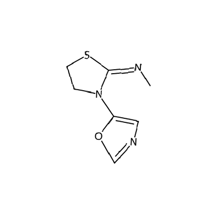 CN=C1SCCN1c1cnco1